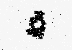 CCn1c(-c2cc(N3CCN(C)CC3)cnc2[C@H](C)OC)c2c3cc(ccc31)-c1csc(n1)C[C@H](NC(=O)[C@@H]1CC[C@H]1C#N)C(=O)N1CCC[C@H](N1)C(=O)OCC(C)(C)C2